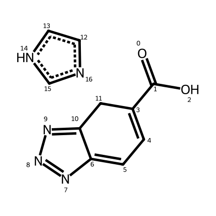 O=C(O)C1=CC=C2N=NN=C2C1.c1c[nH]cn1